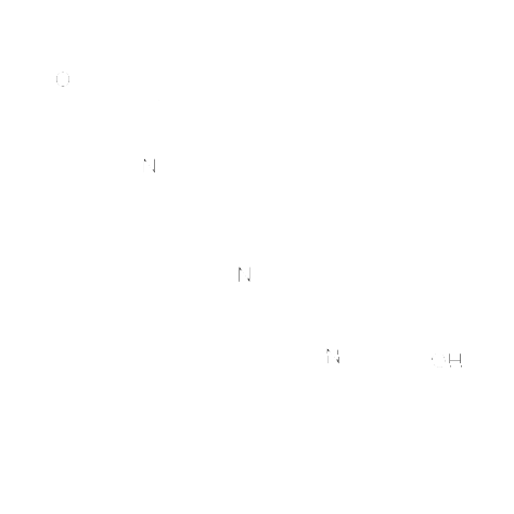 [CH2]C(O)N1CCN(CCN2CCOCC2)CC1